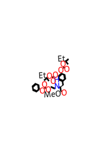 CCC(C)(C)OC(=O)Oc1ccc(C[C@H](NCCOC(=O)Oc2ccccc2)C(=O)OC)cc1OC(=O)OC(C)(C)CC